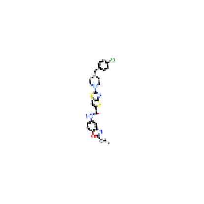 Cc1nc2cc(NC(=O)c3cc4sc(N5CCC(Cc6ccc(Cl)cc6)CC5)nc4s3)ccc2o1